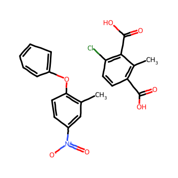 Cc1c(C(=O)O)ccc(Cl)c1C(=O)O.Cc1cc([N+](=O)[O-])ccc1Oc1ccccc1